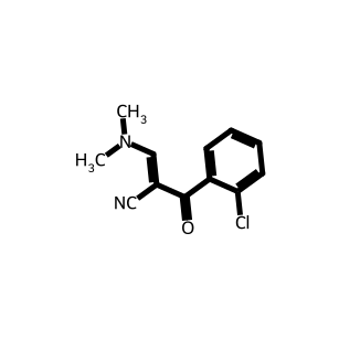 CN(C)C=C(C#N)C(=O)c1ccccc1Cl